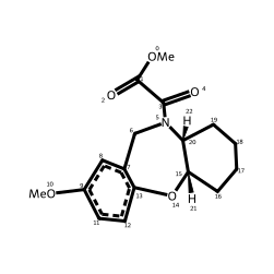 COC(=O)C(=O)N1Cc2cc(OC)ccc2O[C@H]2CCCC[C@H]21